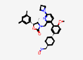 COc1ccc([C@H]2CC[C@H](CN=O)CC2)cc1-c1ccc(N2CCC2)nc1CN1C(=O)O[C@H](c2cc(C)cc(C)c2)[C@@H]1C